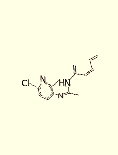 C=C/C=C\C(=C)N/C(C)=N\c1ccc(Cl)nc1C